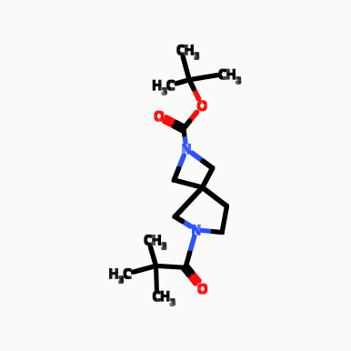 CC(C)(C)OC(=O)N1CC2(CCN(C(=O)C(C)(C)C)C2)C1